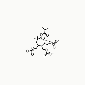 CC(C)C(=O)ON1C(C)(C)CC(CO[N+](=O)[O-])C(CO[N+](=O)[O-])C(CO[N+](=O)[O-])C1(C)C